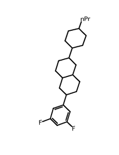 CCCC1CCC(C2CCC3CC(c4cc(F)cc(F)c4)CCC3C2)CC1